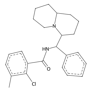 Cc1cccc(C(=O)NC(c2ccccc2)C2CCCC3CCCCN32)c1Cl